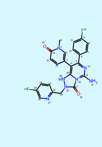 Cn1cc(-c2c(-c3ccc(F)cc3)nc(N)[n+]3c(=O)n(Cc4ccc(F)cn4)[nH]c23)ccc1=O